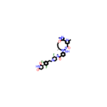 Cc1cc2cc(n1)-c1cnn(C)c1OCCC[C@@H](C)CN1/C(=N/C2=O)Nc2ccc(C(=O)N(C)[C@H]3CCN(CCc4cc(F)c([C@H]5CCC(=O)NC5=O)c(F)c4)C[C@@H]3F)cc21